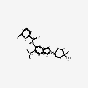 Cc1cccc(C(=O)Nc2cc3cn(C4CCC(C)(O)CC4)nc3cc2N(C)C)n1